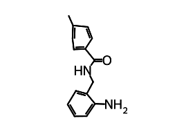 Cc1ccc(C(=O)NCc2ccccc2N)cc1